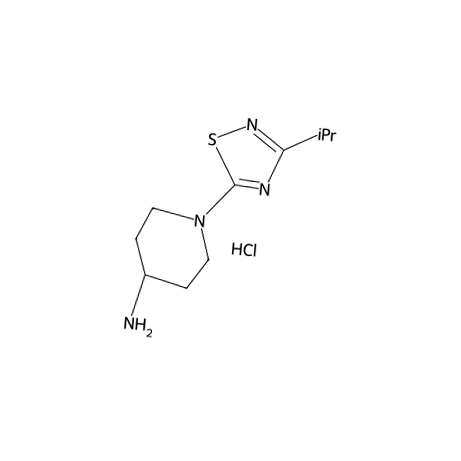 CC(C)c1nsc(N2CCC(N)CC2)n1.Cl